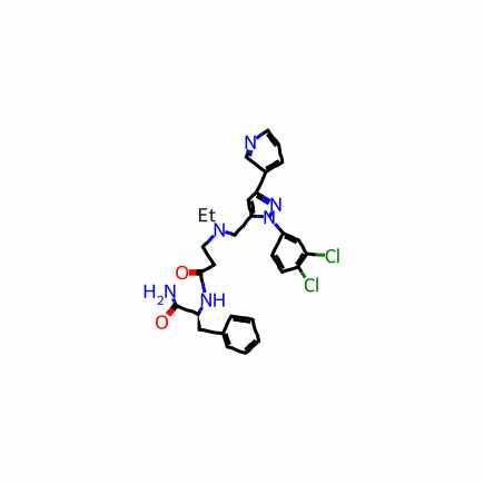 CCN(CCC(=O)N[C@@H](Cc1ccccc1)C(N)=O)Cc1cc(-c2cccnc2)nn1-c1ccc(Cl)c(Cl)c1